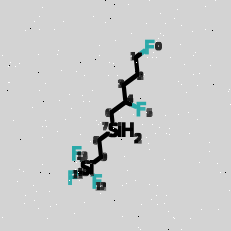 FCCCC(F)C[SiH2]CC[Si](F)(F)F